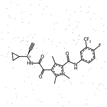 C#C[C@@H](NC(=O)C(=O)c1c(C)c(C(=O)Nc2ccc(F)c(C(F)(F)F)c2)n(C)c1C)C1CC1